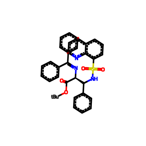 CC(C)(C)OC(=O)[C@@H](N=C(c1ccccc1)c1ccccc1)C(NS(=O)(=O)c1cccc2cccnc12)c1ccccc1